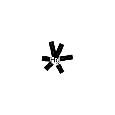 [CH2]=[Hg](=[CH2])(=[CH2])(=[CH2])(=[CH2])=[CH2]